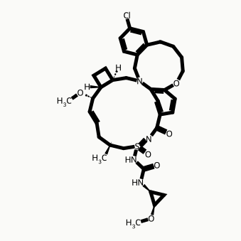 CO[C@H]1/C=C/C[C@H](C)CS(=O)(NC(=O)N[C@H]2C[C@H]2OC)=NC(=O)c2ccc3c(c2)N(Cc2ccc(Cl)cc2CCCCO3)C[C@@H]2CC[C@H]21